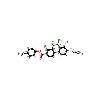 CCOc1ccc2c(c1F)C(F)C(F)c1c-2ccc(C(=O)Oc2ccc(C)c(F)c2)c1F